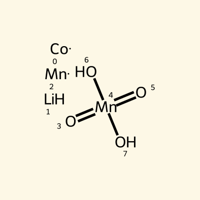 [Co].[LiH].[Mn].[O]=[Mn](=[O])([OH])[OH]